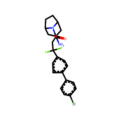 NC1CC2CCC(C1)N2C(=O)CC(F)(F)c1ccc(-c2ccc(Cl)cc2)cc1